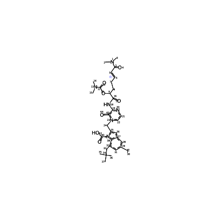 CN(C)C(=O)/C=C/CCC(OC(=O)N(C)C)C(=O)Nc1nccn(Cc2cc3cc(F)cc(CC(C)(C)C)c3n2C(=O)O)c1=O